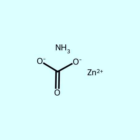 N.O=C([O-])[O-].[Zn+2]